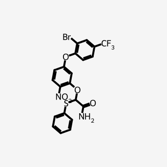 NC(=O)C(Oc1cc(Oc2ccc(C(F)(F)F)cc2Br)ccc1[N+](=O)[O-])Sc1ccccc1